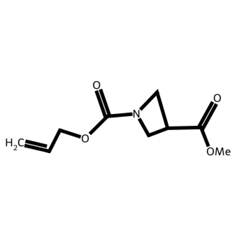 C=CCOC(=O)N1CC(C(=O)OC)C1